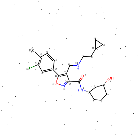 O=C(N[C@H]1CCC[C@@H](O)C1)c1noc(-c2ccc(C(F)(F)F)c(F)c2)c1CNCCC1CC1